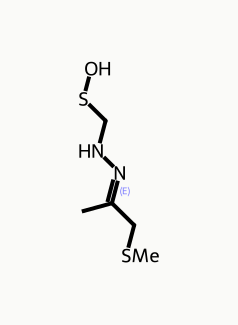 CSC/C(C)=N/NCSO